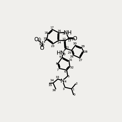 CC(C)CN(Cc1ccc(NC(=C2C(=O)Nc3ccc([N+](=O)[O-])cc32)c2ccccc2)cc1)CC(C)C